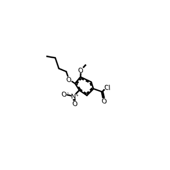 CCCCOc1c(OC)cc(C(=O)Cl)cc1[N+](=O)[O-]